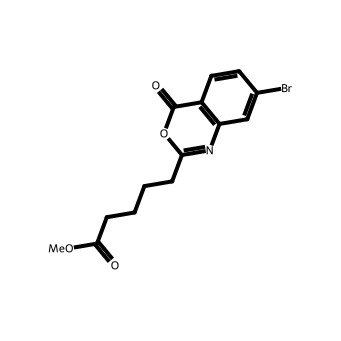 COC(=O)CCCCc1nc2cc(Br)ccc2c(=O)o1